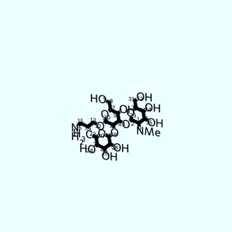 CNC1C(OC2C(O)C(CO)OC(OCCCN)C2OC2OC(C)C(O)C(O)C2O)OC(CO)C(O)C1O